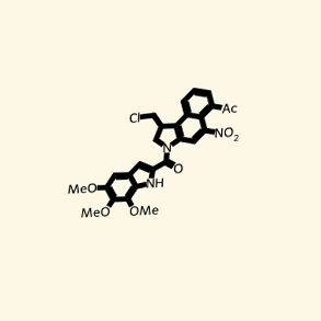 COc1cc2cc(C(=O)N3CC(CCl)c4c3cc([N+](=O)[O-])c3c(C(C)=O)cccc43)[nH]c2c(OC)c1OC